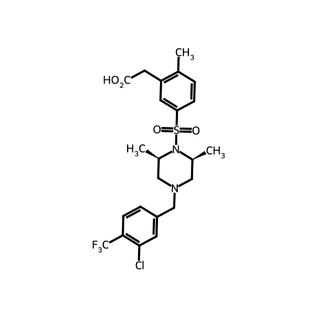 Cc1ccc(S(=O)(=O)N2[C@H](C)CN(Cc3ccc(C(F)(F)F)c(Cl)c3)C[C@@H]2C)cc1CC(=O)O